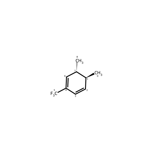 C[C@H]1C=CC(C(F)(F)F)=C[C@@H]1C